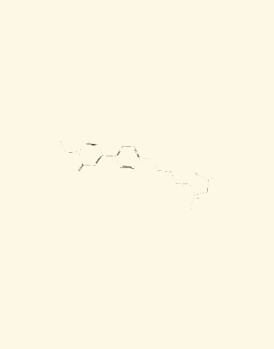 CCn1ncc(-c2ccc(OCCCN3CCCC3C)cc2)cc1=O